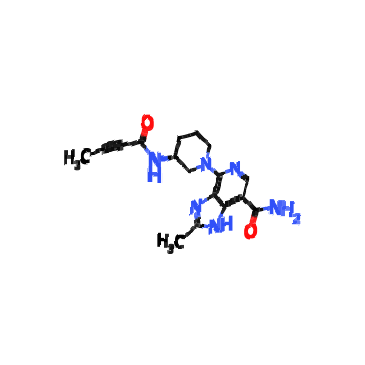 CC#CC(=O)N[C@H]1CCCN(c2ncc(C(N)=O)c3[nH]c(C)nc23)C1